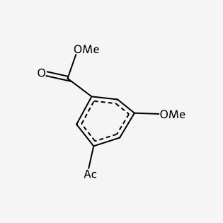 COC(=O)c1cc(OC)cc(C(C)=O)c1